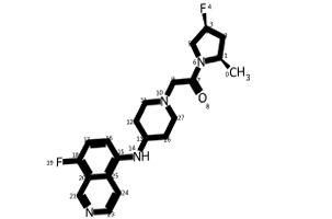 C[C@@H]1C[C@H](F)CN1C(=O)CN1CCC(Nc2ccc(F)c3cnccc23)CC1